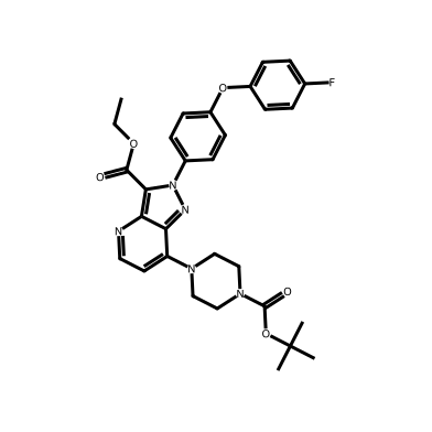 CCOC(=O)c1c2nccc(N3CCN(C(=O)OC(C)(C)C)CC3)c2nn1-c1ccc(Oc2ccc(F)cc2)cc1